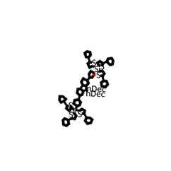 CCCCCCCCCCC1(CCCCCCCCCC)c2cc(-c3ccc([Si](c4ccc(-c5ccccc5)s4)(c4ccc(-c5ccccc5)s4)c4ccc(-c5ccccc5)s4)cc3)ccc2-c2ccc(-c3ccc([Si](c4ccc(-c5ccccc5)s4)(c4ccc(-c5ccccc5)s4)c4ccc(-c5ccccc5)s4)cc3)cc21